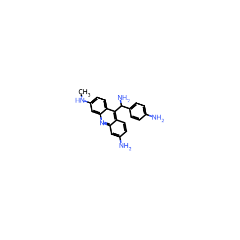 CNc1ccc2c(C(N)c3ccc(N)cc3)c3ccc(N)cc3nc2c1